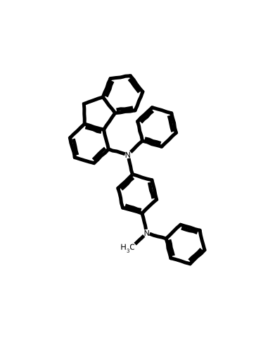 CN(c1ccccc1)c1ccc(N(c2ccccc2)c2cccc3c2-c2ccccc2C3)cc1